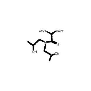 CCCCCCCCC(CCCCCCCC)C(=O)N(CC(C)O)CC(C)O